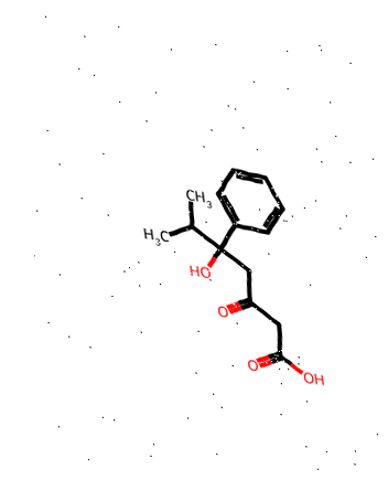 CC(C)C(O)(CC(=O)CC(=O)O)c1ccccc1